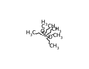 CCCC[Si](CCCC)(C[Si](CCCC)(CCCC)OCC)OCC